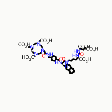 O=C(O)CC[C@H](NC(=O)N[C@@H](CCCCNC(=O)[C@H](Cc1ccc2ccccc2c1)NC(=O)C1CCC(CNC(=O)CN2CCN(CC(=O)O)CCN(CC(=O)O)CCN(CC(=O)O)CC2)CC1)C(=O)O)C(=O)O